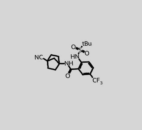 CC(C)(C)S(=O)(=O)Nc1ccc(C(F)(F)F)cc1C(=O)NC12CCC(C#N)(CC1)C2